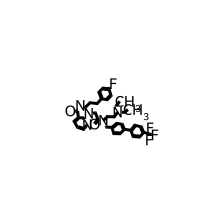 CCN(CC)CCN(Cc1ccc(-c2ccc(C(F)(F)F)cc2)cc1)C(=O)Cn1c(CCc2ccc(F)cc2)nc(=O)c2cccnc21